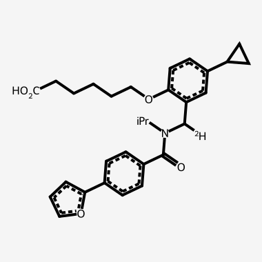 [2H]C(c1cc(C2CC2)ccc1OCCCCCC(=O)O)N(C(=O)c1ccc(-c2ccco2)cc1)C(C)C